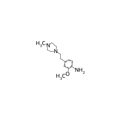 COc1cc(CCN2CCN(C)CC2)ccc1N